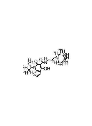 [2H]C([2H])([2H])C(C)n1c(=O)c(C(=O)NCCCN2C([2H])([2H])C([2H])([2H])C([2H])([2H])C([2H])([2H])C2([2H])[2H])c(O)c2ccsc21